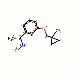 C[C@@H](NCl)c1cccc(OCC2(C)CC2)c1